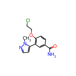 Cn1nccc1-c1cc(C(N)=O)ccc1OCCCl